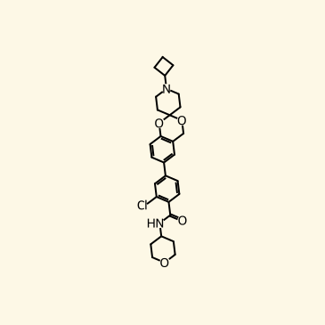 O=C(NC1CCOCC1)c1ccc(-c2ccc3c(c2)COC2(CCN(C4CCC4)CC2)O3)cc1Cl